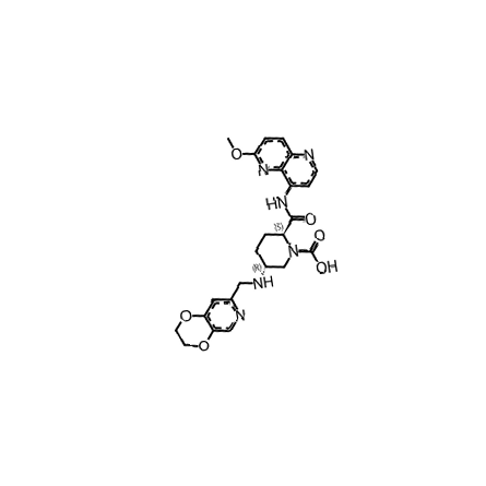 COc1ccc2nccc(NC(=O)[C@@H]3CC[C@@H](NCc4cc5c(cn4)OCCO5)CN3C(=O)O)c2n1